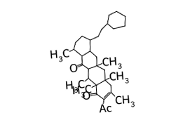 CC(=O)C1=C(C)CC2(C)CC3(C)CC4C(CCC5CCCCC5)CCC(C)C4C(=O)C3C(C)C2(C)C1=O